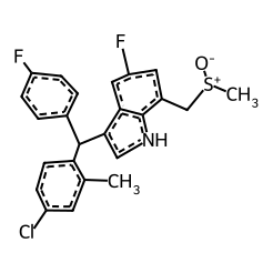 Cc1cc(Cl)ccc1C(c1ccc(F)cc1)c1c[nH]c2c(C[S+](C)[O-])cc(F)cc12